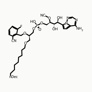 CCCCCCCCCCCCCCCCCCOC[C@H](COP(=O)(O)OC[C@@H](OC#N)[C@@H](O)[C@@H](O)c1ccc2c(N)ncnn12)OCc1c(F)cccc1C#N